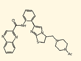 CC(=O)N1CCN(CC2CSc3nc(-c4ccccc4NC(=O)c4cnc5ccccc5n4)cn32)CC1